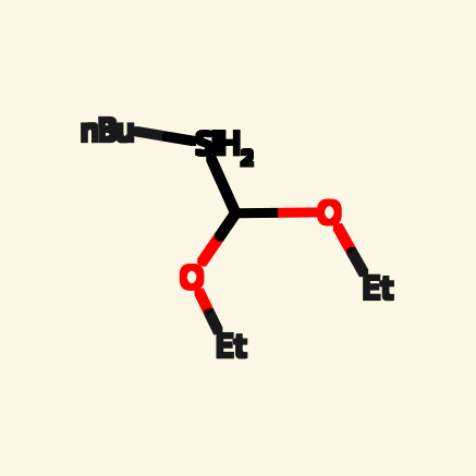 [CH2]CCC[SiH2]C(OCC)OCC